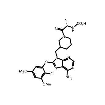 COc1cc(OC)c(Cl)c(Sc2nc3c(N)ncnc3n2CC2CCCN(C(=O)[C@H](C)NC(=O)O)C2)c1